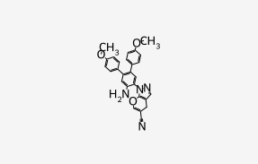 COc1ccc(-c2cc(N)c(-n3ncc4c3OC=C(C#N)C4)cc2-c2ccc(OC)cc2)cc1